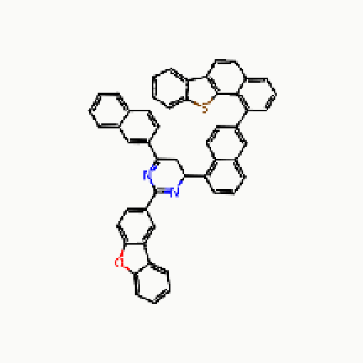 c1ccc2cc(C3=NC(c4ccc5oc6ccccc6c5c4)=NC(c4cccc5cc(-c6cccc7ccc8c9ccccc9sc8c67)ccc45)C3)ccc2c1